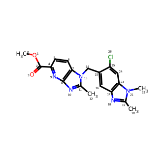 COC(=O)c1ccc2c(n1)nc(C)n2Cc1cc2nc(C)n(C)c2cc1Cl